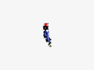 COc1ccc(-c2cn3ccc(N4CCN(CCF)CC4)nc3n2)cc1